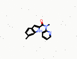 Cc1ccc2cc(C(=O)N(C)c3ccccn3)[nH]c2c1